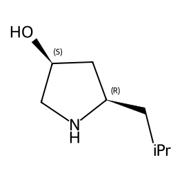 CC(C)C[C@@H]1C[C@H](O)CN1